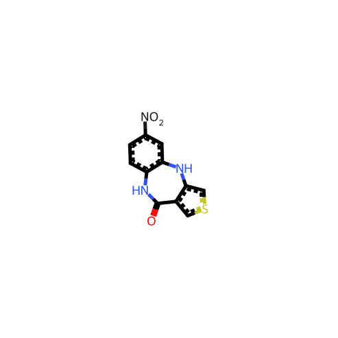 O=C1Nc2ccc([N+](=O)[O-])cc2Nc2cscc21